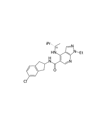 CCn1ncc2c(N[C@@H](C)C(C)C)c(C(=O)NC3Cc4ccc(Cl)cc4C3)cnc21